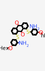 CCCCCCOc1ccc(Sc2cccc3c2C(=O)c2c(Sc4ccc(OCCCCCC)cc4N)cccc2C3=O)c(N)c1